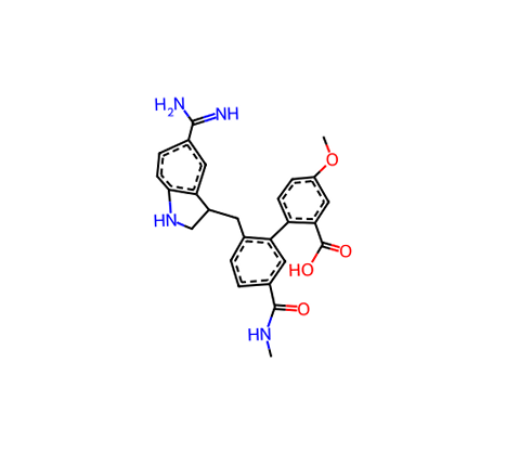 CNC(=O)c1ccc(CC2CNc3ccc(C(=N)N)cc32)c(-c2ccc(OC)cc2C(=O)O)c1